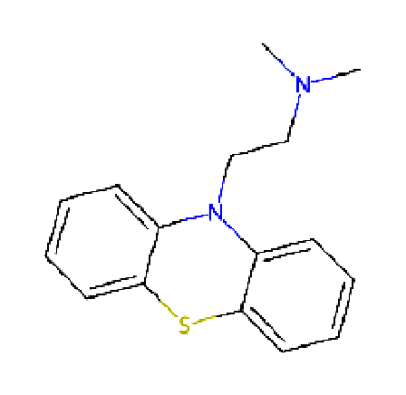 CN(C)CCN1c2ccccc2Sc2ccccc21